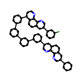 Fc1cccc(-c2cnc3c(ccc4c(-c5cccc(-c6cccc(-c7cccc(-c8cccc(-c9cnc%10c(ccc%11cc(-c%12ccccc%12)cnc%11%10)c9)c8)c7)c6)c5)ccnc43)c2)c1